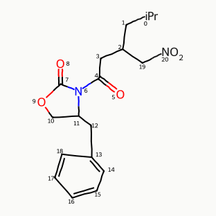 CC(C)CC(CC(=O)N1C(=O)OCC1Cc1ccccc1)C[N+](=O)[O-]